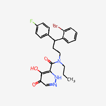 CCCN(CCC(c1ccc(F)cc1)c1ccccc1Br)C(=O)c1[nH]ncc(=O)c1O